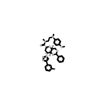 COc1ccc(N(C)CCN(C)C(=O)[C@H]2C[C@@H](n3cc(-c4cccc(F)c4)nn3)[C@H]3OC(c4ccccc4)OC[C@H]3O2)cc1